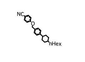 CCCCCCC1CCC(c2ccc(COc3ccc(C#N)cc3)cc2)CC1